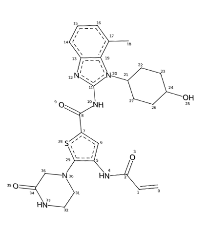 C=CC(=O)Nc1cc(C(=O)Nc2nc3cccc(C)c3n2C2CCC(O)CC2)sc1N1CCNC(=O)C1